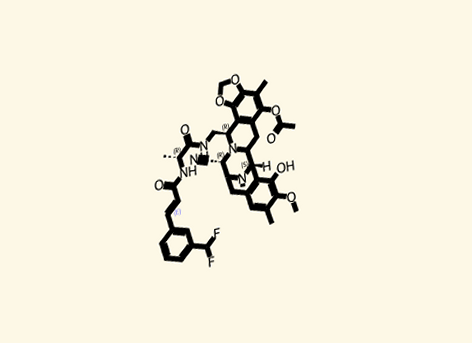 COc1c(C)cc2c(c1O)[C@H]1C3Cc4c(OC(C)=O)c(C)c5c(c4[C@H](CNC(=O)[C@@H](C)NC(=O)/C=C/c4cccc(C(F)F)c4)N3[C@@H](C#N)C(C2)N1C)OCO5